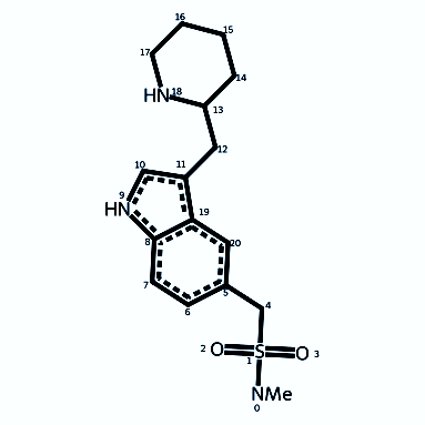 CNS(=O)(=O)Cc1ccc2[nH]cc(CC3CCCCN3)c2c1